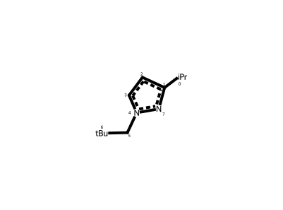 CC(C)c1ccn(CC(C)(C)C)n1